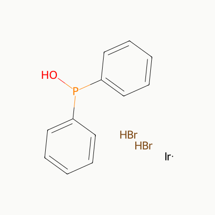 Br.Br.OP(c1ccccc1)c1ccccc1.[Ir]